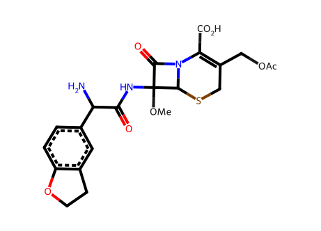 COC1(NC(=O)C(N)c2ccc3c(c2)CCO3)C(=O)N2C(C(=O)O)=C(COC(C)=O)CSC21